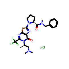 C[C@H](CN(C)C)n1c(C(F)(F)F)nc2sc(N3CCC[C@@H]3C(=O)NCc3ccccc3)nc2c1=O.Cl